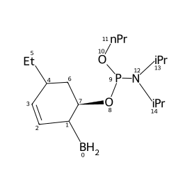 BC1C=CC(CC)C[C@H]1OP(OCCC)N(C(C)C)C(C)C